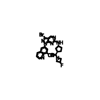 N#Cc1cc(-n2nc(Br)c3cnc(N[C@@H]4CC[C@@H](C(=O)N5CC(F)C5)C4)nc32)cc2cccnc12